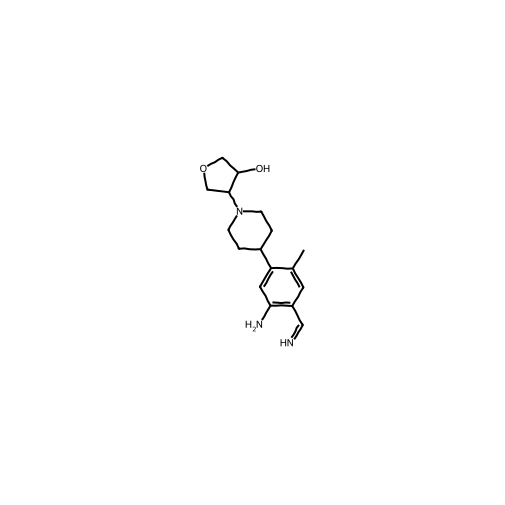 Cc1cc(C=N)c(N)cc1C1CCN(C2COCC2O)CC1